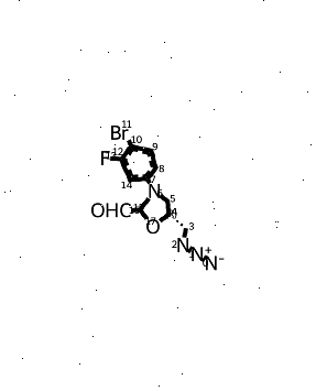 [N-]=[N+]=NC[C@H]1CN(c2ccc(Br)c(F)c2)C(C=O)O1